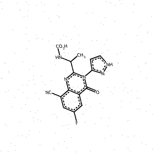 CC(NC(=O)O)c1nc2c(C#N)cc(F)cc2c(=O)n1-c1cc[nH]n1